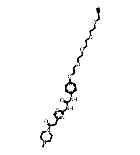 C#CCOCCOCCOCCOCCOc1ccc(NC(=O)Nc2nc(CC(=O)N3CCN(C)CC3)cs2)cc1